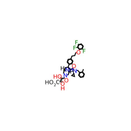 Cc1ccccc1CN(C(=O)C1=C(c2ccc(CCCOc3c(F)ccc(F)c3F)cc2)C[C@@H]2CN(C(=O)[C@@H](O)[C@@H](O)C(=O)O)C[C@H]1N2)C1CC1